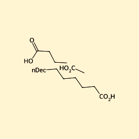 CC(=O)O.CCCC(=O)O.CCCCCCCCCCCCCCCC(=O)O